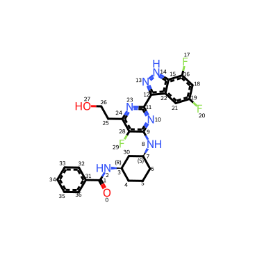 O=C(N[C@@H]1CCC[C@H](Nc2nc(-c3n[nH]c4c(F)cc(F)cc34)nc(CCO)c2F)C1)c1ccccc1